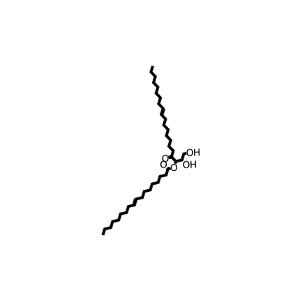 CCCCCCCCC=CCCCCCCCC(=O)OC(C(=O)CCCCCCCC=CCCCCCCCC)C(O)CO